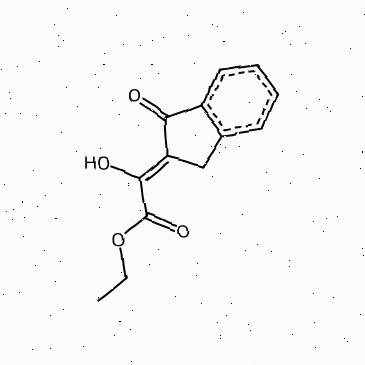 CCOC(=O)/C(O)=C1\Cc2ccccc2C1=O